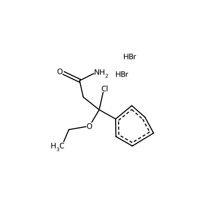 Br.Br.CCOC(Cl)(CC(N)=O)c1ccccc1